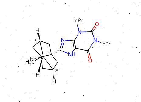 CCCn1c(=O)c2[nH]c([C@]34C[C@H]5C[C@H]3C[C@H](C4)[C@H]5C)nc2n(CCC)c1=O